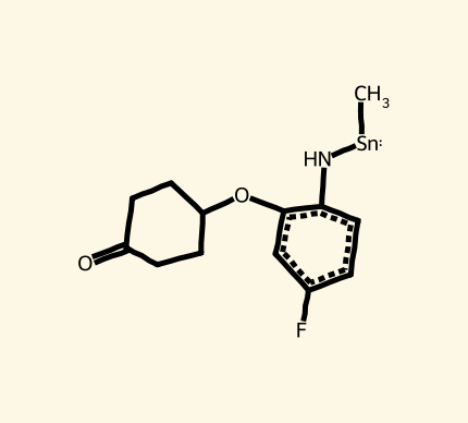 [CH3][Sn][NH]c1ccc(F)cc1OC1CCC(=O)CC1